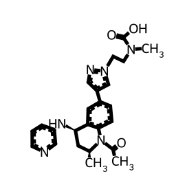 CC(=O)N1c2ccc(-c3cnn(CCN(C)C(=O)O)c3)cc2[C@H](Nc2cccnc2)C[C@@H]1C